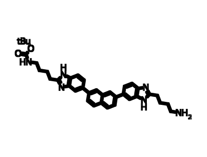 CC(C)(C)OC(=O)NCCCCc1nc2cc(-c3ccc4ccc(-c5ccc6nc(CCCCN)[nH]c6c5)cc4c3)ccc2[nH]1